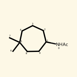 CC(=O)NC1CCCC(C)(C)CC1